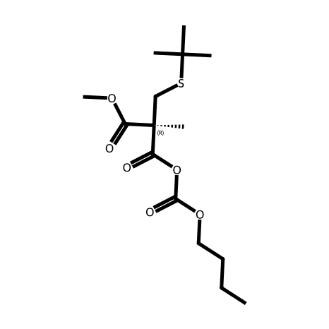 CCCCOC(=O)OC(=O)[C@](C)(CSC(C)(C)C)C(=O)OC